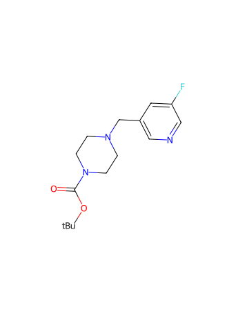 CC(C)(C)OC(=O)N1CCN(Cc2cncc(F)c2)CC1